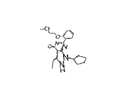 CCc1[nH]n(C2CCCC2)c2nc(-c3ccccc3OCCOC)nc(=O)c1-2